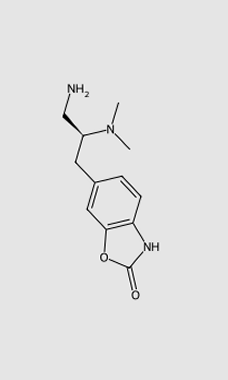 CN(C)[C@H](CN)Cc1ccc2[nH]c(=O)oc2c1